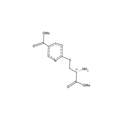 COC(=O)c1ccc(SC[C@H](N)C(=O)OC)nc1